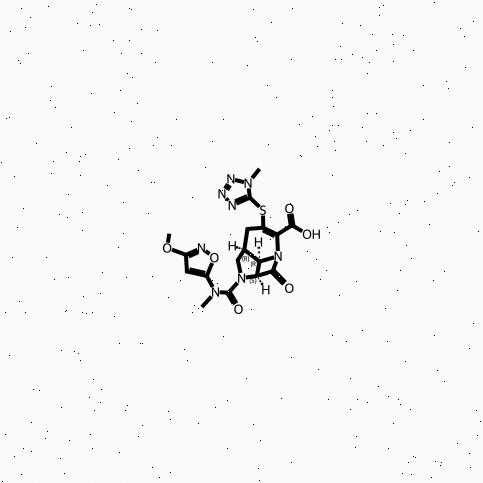 COc1cc(N(C)C(=O)N2C[C@H]3CC(Sc4nnnn4C)=C(C(=O)O)N4C(=O)[C@@H]2[C@@H]34)on1